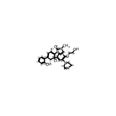 CN1CCN(C2=C(F)C=C(c3ccccc3O)CC2(Cl)c2cnc(OCCO)c(N3CCNCC3)c2)C1=O